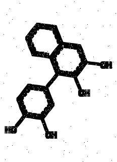 Oc1ccc(-c2c(O)c(O)cc3ccccc23)cc1O